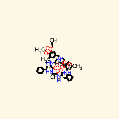 C#CCOc1cc(C[N+]2(CC(=O)N[C@@H](CCc3ccccc3)C(=O)N[C@@H](C)C(=O)N[C@@H](Cc3ccccc3)C(=O)N[C@@H](CC(C)C)C(=O)[C@@]3(C)CO3)CCOCC2)cc(C)c1OC(C)=O